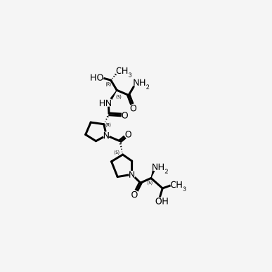 CC(O)[C@H](N)C(=O)N1CC[C@H](C(=O)N2CCC[C@@H]2C(=O)N[C@H](C(N)=O)[C@@H](C)O)C1